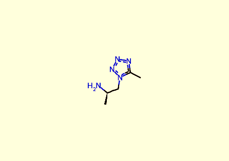 Cc1nnnn1C[C@@H](C)N